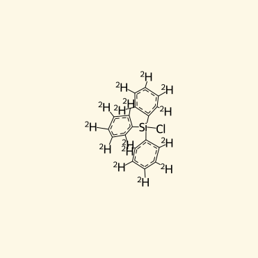 [2H]c1c([2H])c([2H])c([Si](Cl)(c2c([2H])c([2H])c([2H])c([2H])c2[2H])c2c([2H])c([2H])c([2H])c([2H])c2[2H])c([2H])c1[2H]